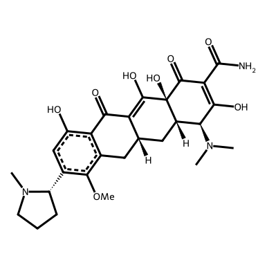 COc1c([C@@H]2CCCN2C)cc(O)c2c1C[C@H]1C[C@H]3[C@H](N(C)C)C(O)=C(C(N)=O)C(=O)[C@@]3(O)C(O)=C1C2=O